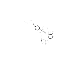 C#CC(C)(CCCc1ccc(F)c(Sc2ccc(F)cc2)c1)c1ccc(OCC)cc1